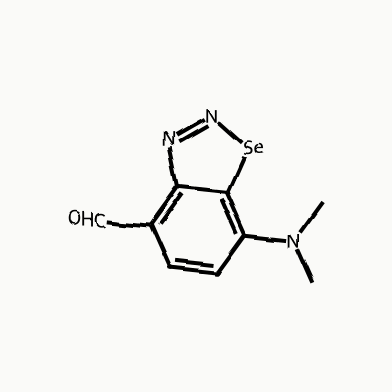 CN(C)c1ccc(C=O)c2nn[se]c12